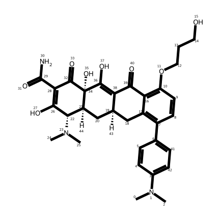 CN(C)c1ccc(-c2ccc(OCCCO)c3c2C[C@H]2C[C@H]4[C@H](N(C)C)C(O)=C(C(N)=O)C(=O)[C@@]4(O)C(O)=C2C3=O)cc1